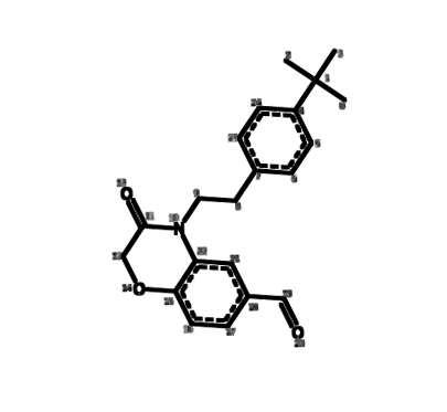 CC(C)(C)c1ccc(CCN2C(=O)COc3ccc(C=O)cc32)cc1